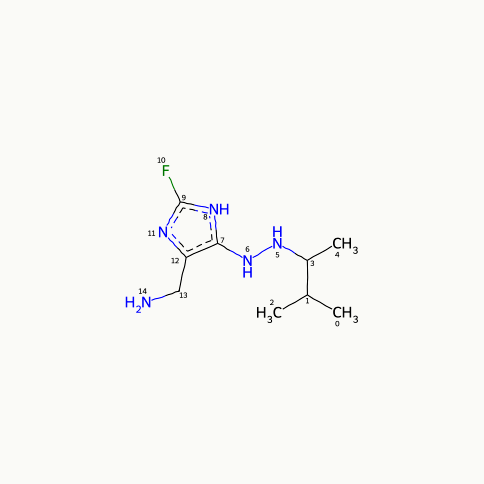 CC(C)C(C)NNc1[nH]c(F)nc1CN